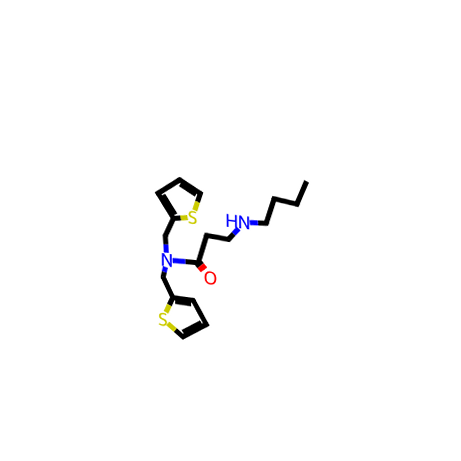 CCCCNCCC(=O)N(Cc1cccs1)Cc1cccs1